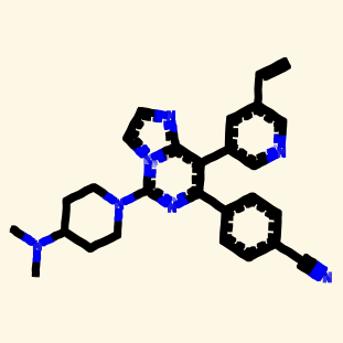 C=Cc1cncc(-c2c(-c3ccc(C#N)cc3)nc(N3CCC(N(C)C)CC3)n3ccnc23)c1